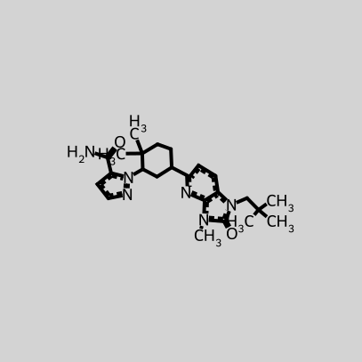 Cn1c(=O)n(CC(C)(C)C)c2ccc(C3CCC(C)(C)C(n4nccc4C(N)=O)C3)nc21